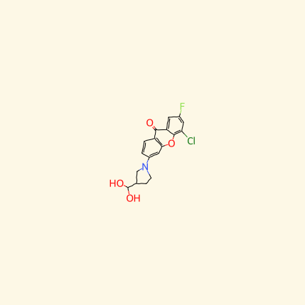 O=c1c2ccc(N3CCC(C(O)O)C3)cc2oc2c(Cl)cc(F)cc12